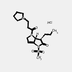 CCC[C@H]1C(=O)N(S(C)(=O)=O)C2=CCN(C(=O)CCN3CCCC3)[C@@H]21.Cl